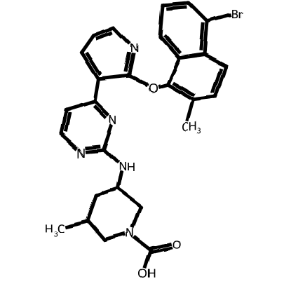 Cc1ccc2c(Br)cccc2c1Oc1ncccc1-c1ccnc(NC2CC(C)CN(C(=O)O)C2)n1